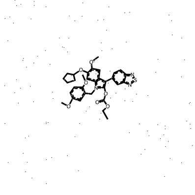 CCOC(=O)Oc1c(-c2ccc3nsnc3c2)c2cc(OC)c(OC3CCCC3)cc2n1Cc1cc(OC)ccc1OC